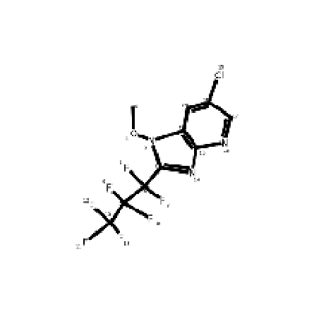 COn1c(C(F)(F)C(F)(F)C(F)(F)F)nc2ncc(Cl)cc21